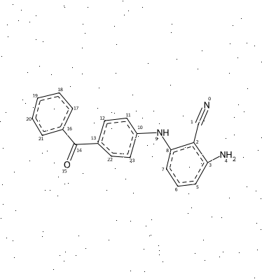 N#Cc1c(N)cccc1Nc1ccc(C(=O)c2ccccc2)cc1